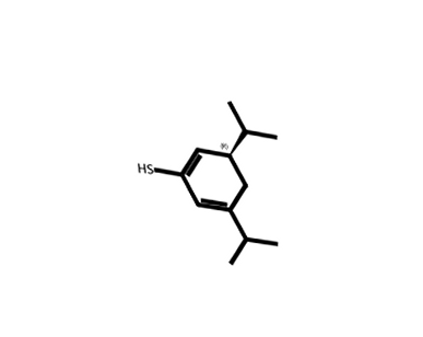 CC(C)C1=CC(S)=C[C@@H](C(C)C)C1